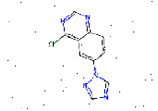 Clc1ncnc2ccc(-n3cncn3)cc12